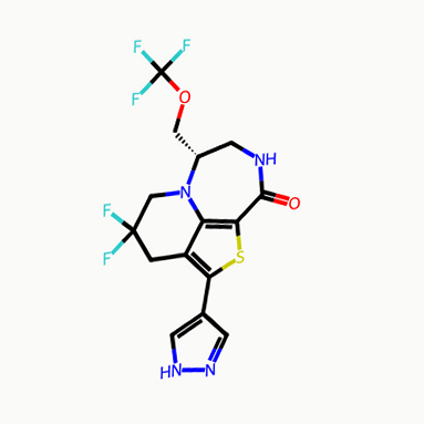 O=C1NC[C@@H](COC(F)(F)F)N2CC(F)(F)Cc3c(-c4cn[nH]c4)sc1c32